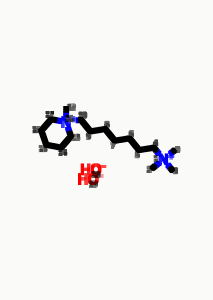 C[N+](C)(C)CCCCCCC[N+]1(C)CCCCC1.[OH-].[OH-]